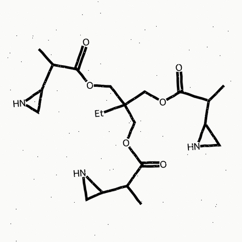 CCC(COC(=O)C(C)C1CN1)(COC(=O)C(C)C1CN1)COC(=O)C(C)C1CN1